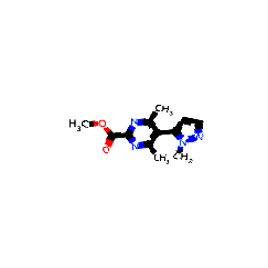 COC(=O)c1nc(C)c(-c2ccnn2C)c(C)n1